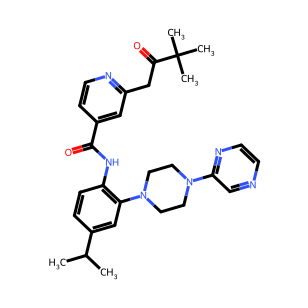 CC(C)c1ccc(NC(=O)c2ccnc(CC(=O)C(C)(C)C)c2)c(N2CCN(c3cnccn3)CC2)c1